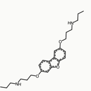 CCCNCCCOc1ccc2c(c1)oc1ccc(OCCCNCCC)cc12